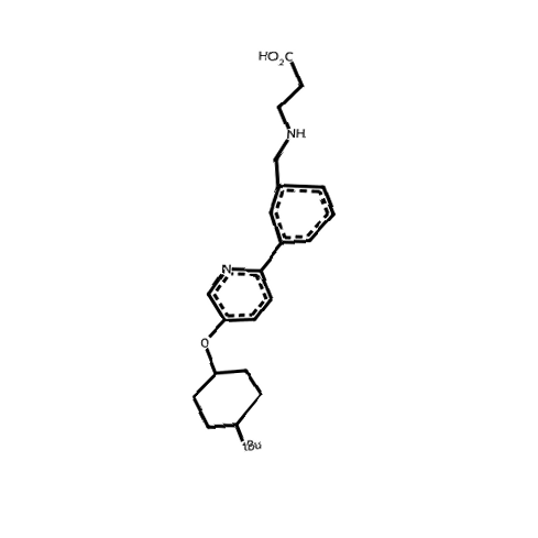 CC(C)(C)C1CCC(Oc2ccc(-c3cccc(CNCCC(=O)O)c3)nc2)CC1